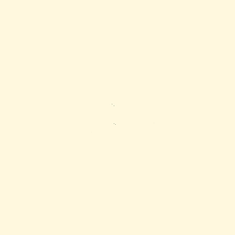 CCCC1=Nc2ccccc2S(C)(=O)=N1